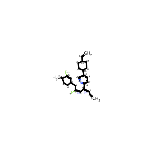 C=C/C=C(\C=C(\F)CC1C=C(F)C(C)CC1)c1ccc(C2CCC(C=C)CC2)cn1